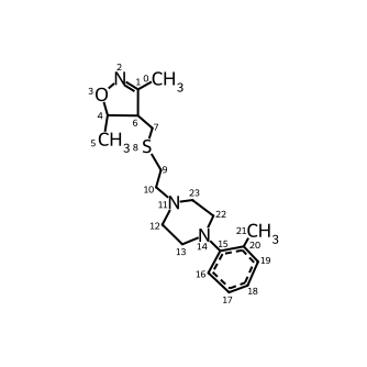 CC1=NOC(C)C1CSCCN1CCN(c2ccccc2C)CC1